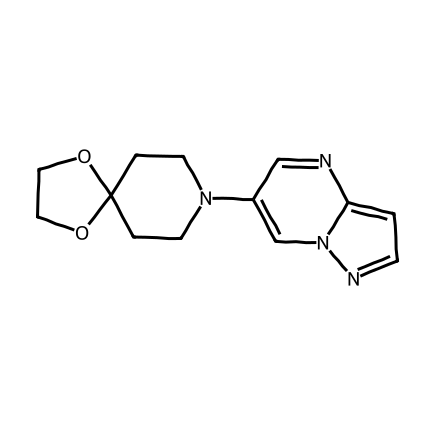 c1cc2ncc(N3CCC4(CC3)OCCO4)cn2n1